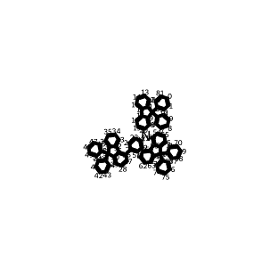 c1ccc(C2(c3ccccc3)c3ccccc3-c3ccc(N(c4ccc(-c5cccc6c5-c5ccccc5C6(c5ccccc5)c5ccccc5)cc4)c4cccc5c4-c4ccccc4C5(c4ccccc4)c4ccccc4)cc32)cc1